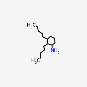 CCCCCC1CCCC(N)C1CCCCC